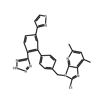 CCc1nc2c(C)cc(C)nc2n1Cc1ccc(-c2cc(-c3ccsn3)ccc2-c2nn[nH]n2)cc1